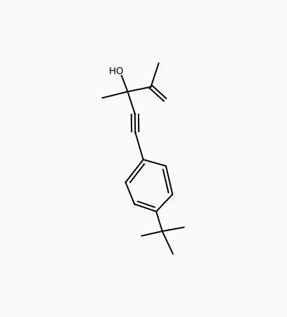 C=C(C)C(C)(O)C#Cc1ccc(C(C)(C)C)cc1